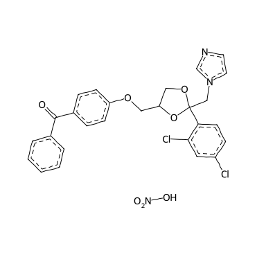 O=C(c1ccccc1)c1ccc(OCC2COC(Cn3ccnc3)(c3ccc(Cl)cc3Cl)O2)cc1.O=[N+]([O-])O